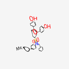 COc1ccc(N(Cc2ccccc2)S(=O)(=O)C2CC3OC2C(c2ccc(O)cc2)=C3c2ccc(O)cc2)cc1